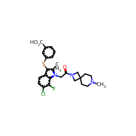 Cc1c(Sc2cccc(C(=O)O)c2)c2ccc(Cl)c(F)c2n1CC(=O)N1CC2(CCN(C)CC2)C1